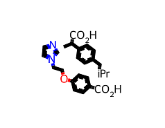 CC(C)Cc1ccc(C(C)C(=O)O)cc1.O=C(O)c1ccc(OCCn2ccnc2)cc1